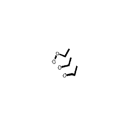 CCO[O].CC[O].CC[O]